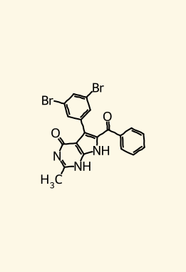 Cc1nc(=O)c2c(-c3cc(Br)cc(Br)c3)c(C(=O)c3ccccc3)[nH]c2[nH]1